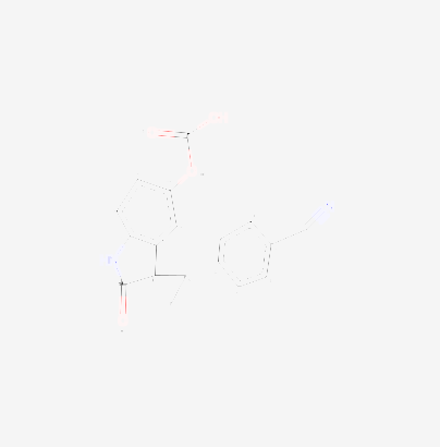 N#Cc1ccc([C@@H]2C[C@@]23C(=O)Nc2ccc(OC(=O)O)cc23)cc1